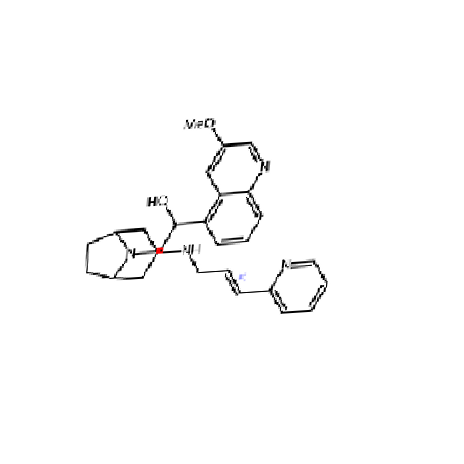 COc1cnc2cccc(C(O)CN3C4CCC3CC(NC/C=C/c3ccccn3)C4)c2c1